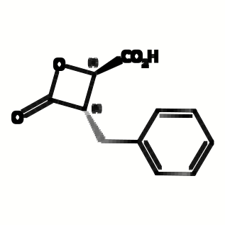 O=C1O[C@@H](C(=O)O)[C@@H]1Cc1ccccc1